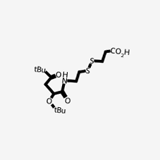 CC(C)(C)OC(CC(=O)C(C)(C)C)C(=O)NCCSSCCC(=O)O